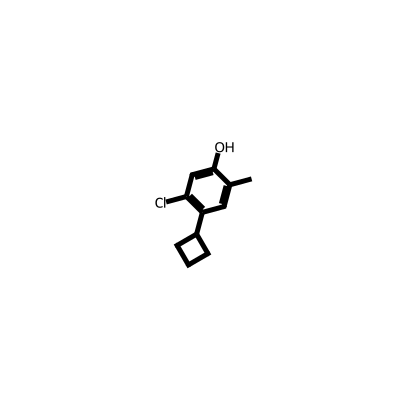 Cc1cc(C2CCC2)c(Cl)cc1O